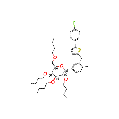 CCCCOC[C@H]1O[C@H](c2ccc(C)c(Cc3ccc(-c4ccc(F)cc4)s3)c2)[C@H](OCCCC)[C@@H](OCCCC)[C@@H]1OCCCC